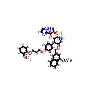 COc1cc(CO[C@H]2CNC[C@@H](OC(c3ncc[nH]3)C(C)O)[C@@H]2c2ccc(OCCCOc3ccccc3[N+](=O)[O-])cc2)cc2ccccc12